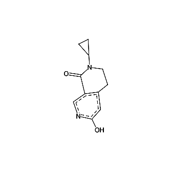 O=C1c2cnc(O)cc2CCN1C1CC1